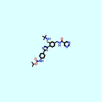 CC(C)OC(=O)Nc1ccc(-c2ncc(-c3ccc(CNC(=O)c4cncnc4)cc3SNC(C)(C)C)s2)cc1